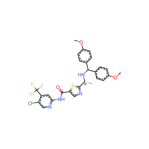 COc1ccc(C(N[C@H](C)c2ncc(C(=O)Nc3cc(C(F)(F)F)c(Cl)cn3)s2)c2ccc(OC)cc2)cc1